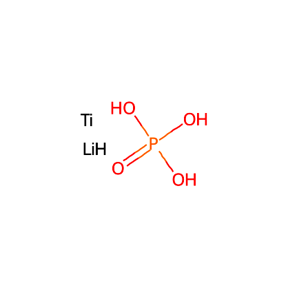 O=P(O)(O)O.[LiH].[Ti]